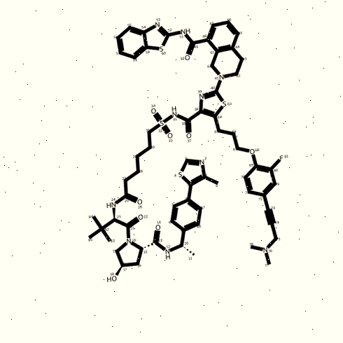 Cc1ncsc1-c1ccc([C@H](C)NC(=O)[C@@H]2C[C@@H](O)CN2C(=O)[C@H](NC(=O)CCCCCS(=O)(=O)NC(=O)c2nc(N3CCc4cccc(C(=O)Nc5nc6ccccc6s5)c4C3)sc2CCCOc2ccc(C#CCN(C)C)cc2F)C(C)(C)C)cc1